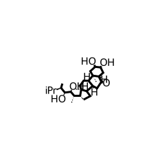 CC(C)[C@@H](C)[C@@H](O)[C@H](O)[C@@H](C)[C@H]1CC[C@H]2[C@@H]3CC(=O)[C@H]4CC(O)C(O)C[C@]4(C)[C@H]3CC[C@]12C